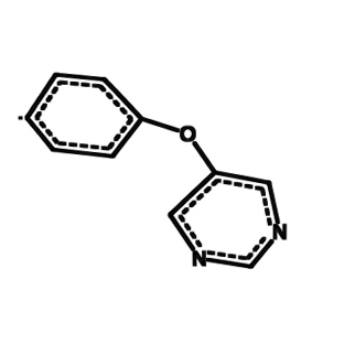 [c]1ccc(Oc2cncnc2)cc1